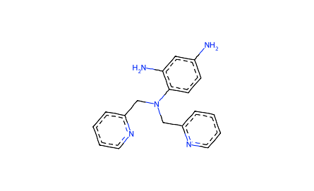 Nc1ccc(N(Cc2ccccn2)Cc2ccccn2)c(N)c1